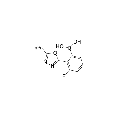 CCCc1nnc(-c2c(F)cccc2B(O)O)o1